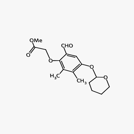 COC(=O)COc1c(C=O)cc(OC2CCCCO2)c(C)c1C